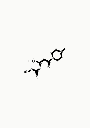 CN1CCN(C(=O)CC(NC(=O)OC(C)(C)C)C(=O)O)CC1